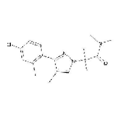 Cc1cc(Cl)ccc1-c1nn(C(C)(C)C(=O)N(C)C)cc1C